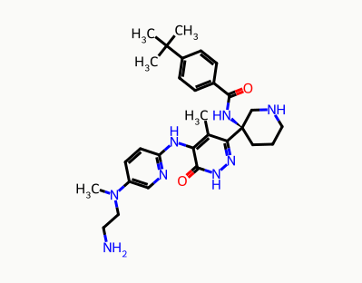 Cc1c([C@@]2(NC(=O)c3ccc(C(C)(C)C)cc3)CCCNC2)n[nH]c(=O)c1Nc1ccc(N(C)CCN)cn1